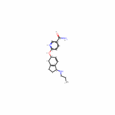 CC(C)CCNC1CCC2=C1C=CC(Oc1ccc(C(N)=O)cn1)C2